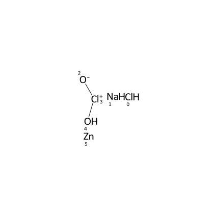 Cl.[NaH].[O-][Cl+]O.[Zn]